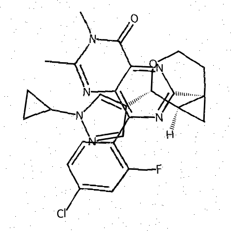 Cc1nc2c(-c3ccc(Cl)cc3F)nc([C@@]34CCO[C@@H](c5cnn(C6CC6)c5)[C@@H]3C4)nc2c(=O)n1C